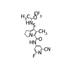 Cc1c(SNC(C)OC(F)(F)F)c2n(c1C(=O)Nc1cc(F)nc(C#N)c1)CCC2